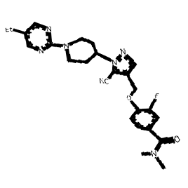 CCc1cnc(N2CCC(n3ncc(COc4ccc(C(=O)N(C)C)cc4F)c3C#N)CC2)nc1